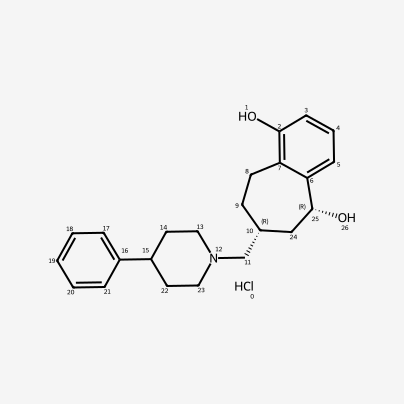 Cl.Oc1cccc2c1CC[C@@H](CN1CCC(c3ccccc3)CC1)C[C@H]2O